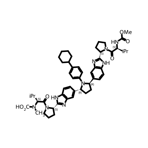 COC(=O)N[C@H](C(=O)N1CCC[C@H]1c1nc2cc([C@H]3CC[C@H](c4ccc5[nH]c([C@@H]6CCCN6C(=O)[C@H](C(C)C)N(C)C(=O)O)nc5c4)N3c3ccc(C4CCCCC4)cc3)ccc2[nH]1)C(C)C